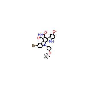 COc1ccc2[nH]c3c(c4c(c5c6cc(Br)ccc6n([C@H]6C=C[C@@H](O[Si](C)(C)C(C)(C)C)C6)c35)C(=O)NC4=O)c2c1